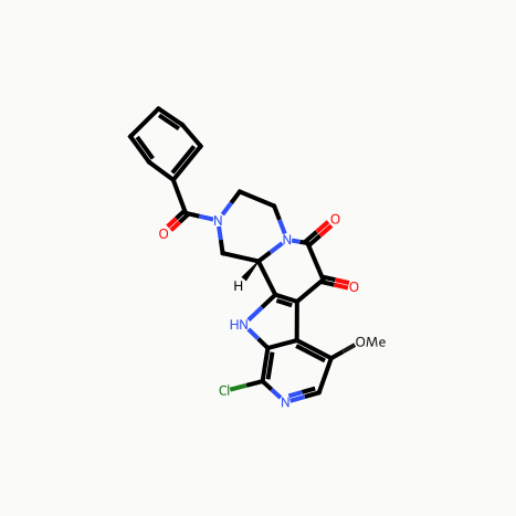 COc1cnc(Cl)c2[nH]c3c(c12)C(=O)C(=O)N1CCN(C(=O)c2ccccc2)C[C@@H]31